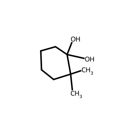 CC1(C)CCCCC1(O)O